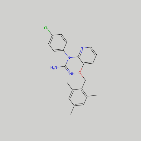 Cc1cc(C)c(COc2cccnc2N(C(=N)N)c2ccc(Cl)cc2)c(C)c1